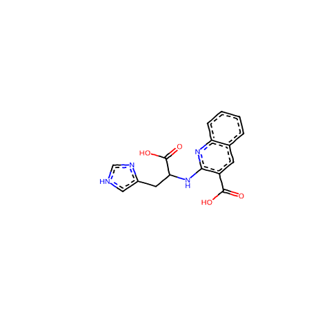 O=C(O)c1cc2ccccc2nc1NC(Cc1c[nH]cn1)C(=O)O